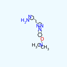 CN(C)CCOc1ccc2c(c1)CN(c1nccc(/C=C/c3ccnc(N)c3)n1)C2